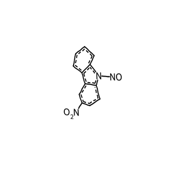 O=Nn1c2ccccc2c2cc([N+](=O)[O-])ccc21